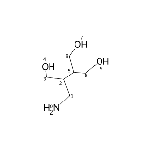 NCC(CO)C(CO)CO